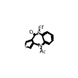 CCN1C(=O)c2cscc2N(C(C)=O)c2ccccc21